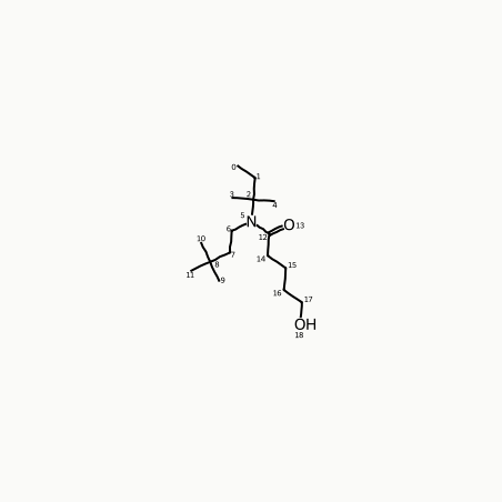 CCC(C)(C)N(CCC(C)(C)C)C(=O)CCCCO